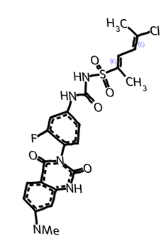 CNc1ccc2c(=O)n(-c3ccc(NC(=O)NS(=O)(=O)/C(C)=C/C=C(\C)Cl)cc3F)c(=O)[nH]c2c1